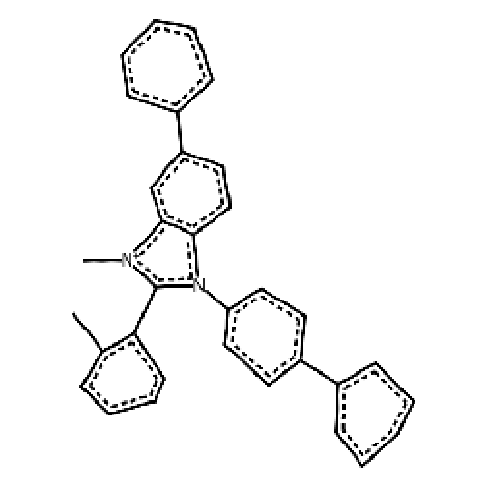 Cc1ccccc1-c1n(-c2ccc(-c3ccccc3)cc2)c2ccc(-c3ccccc3)cc2[n+]1C